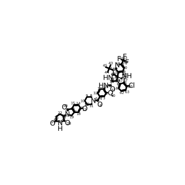 COc1cc(C(=O)N2CCC[C@@H](Oc3ccc4c(c3)CN(C3CCC(=O)NC3=O)C4=O)C2)ccc1NC(=O)[C@@H]1N[C@@H](CC(C)(C)C)[C@@]2(CNc3cc(C(F)(F)F)ncc32)[C@H]1c1cccc(Cl)c1F